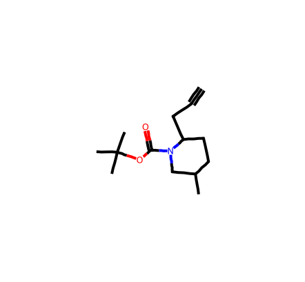 C#CCC1CCC(C)CN1C(=O)OC(C)(C)C